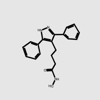 O=C(CCCc1c(-c2ccccc2)n[nH]c1-c1ccccc1)NO